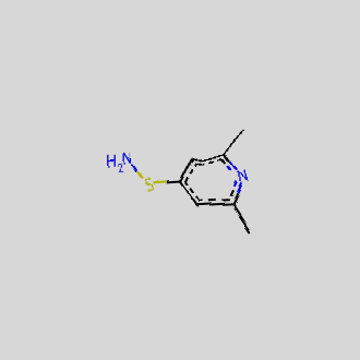 Cc1cc(SN)cc(C)n1